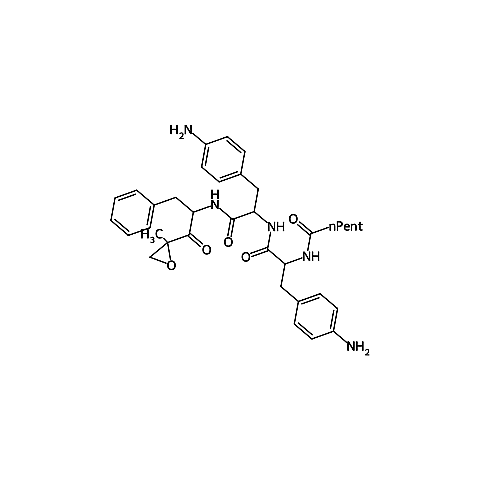 CCCCCC(=O)NC(Cc1ccc(N)cc1)C(=O)NC(Cc1ccc(N)cc1)C(=O)NC(Cc1ccccc1)C(=O)C1(C)CO1